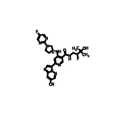 CC(C)(O)C(F)CNC(=O)c1cnc(-c2cnc3cc(C#N)cnn23)cc1N[C@@H]1CCN(c2ncc(F)cn2)C1